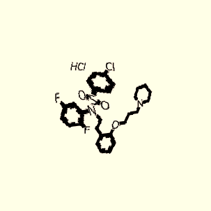 Cl.O=S(=O)(c1ccc(Cl)cc1)N(CCc1ccccc1OCCCN1CCCCC1)c1cc(F)ccc1F